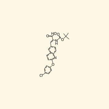 CC(C)(C)OC(=O)NC(=Cc1ccc2nc(Oc3ccc(Cl)cc3)ccc2c1)C(=O)O